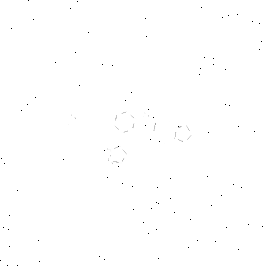 Cn1ncc(Cl)c1-c1cc(NC(=O)Oc2cc(Cl)sc2Cl)ccc1OCCN